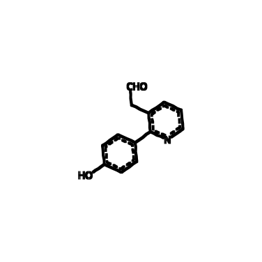 O=CCc1cccnc1-c1ccc(O)cc1